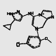 COc1ccc(Cl)cc1N1C=C(Nc2cc(C3CC3)[nH]n2)[N+]2C=CN=C2C1